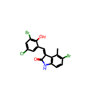 Cc1c(Br)ccc2c1C(=Cc1cc(Cl)cc(Br)c1O)C(=O)N2